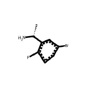 C[C@@H](N)c1cc(Br)ccc1F